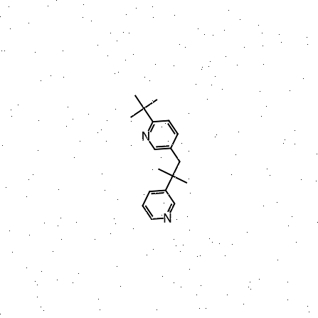 CC(C)(C)c1ccc(CC(C)(C)c2cccnc2)cn1